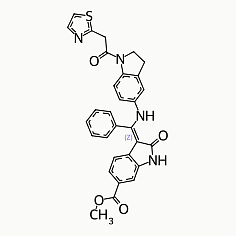 COC(=O)c1ccc2c(c1)NC(=O)/C2=C(\Nc1ccc2c(c1)CCN2C(=O)Cc1nccs1)c1ccccc1